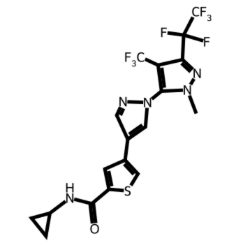 Cn1nc(C(F)(F)C(F)(F)F)c(C(F)(F)F)c1-n1cc(-c2csc(C(=O)NC3CC3)c2)cn1